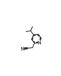 CC(C)c1ccnc(CC#N)c1